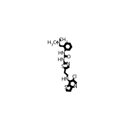 CN(C)Cc1ccccc1NC(=O)Nc1ncc(CCNc2c(Cl)cnc3ccsc23)s1